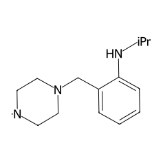 CC(C)Nc1ccccc1CN1CC[N]CC1